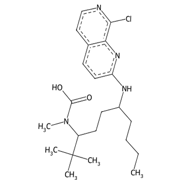 CCCCC(CCC(N(C)C(=O)O)C(C)(C)C)Nc1ccc2ccnc(Cl)c2n1